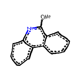 COc1nc2ccccc2c2ccccc12